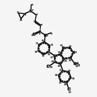 CN(C(=O)C=CCN(C)C1CC1)c1cccc(-n2c(Cl)c(-c3ccc(Cl)cc3)c3c(N)ncnc32)c1